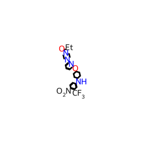 CCC(=O)N1CCN(c2cccc(O[C@H]3CC[C@H](Nc4ccc([N+](=O)[O-])c(C(F)(F)F)c4)CC3)n2)CC1